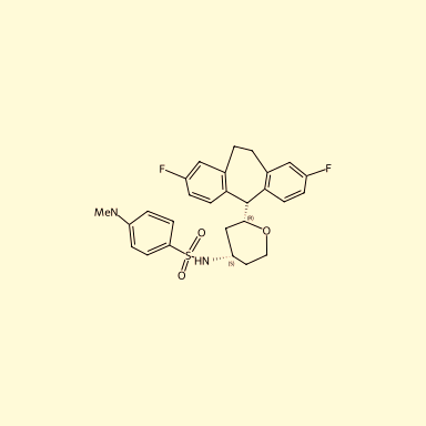 CNc1ccc(S(=O)(=O)N[C@H]2CCO[C@@H](C3c4ccc(F)cc4CCc4cc(F)ccc43)C2)cc1